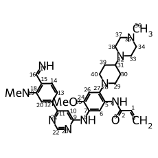 C=CC(=O)Nc1cc(Nc2cc(-c3ccc(C=N)c(NC)c3)ncn2)c(OC)cc1N1CCC(N2CCN(C)CC2)CC1